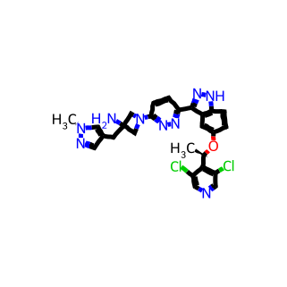 C[C@@H](Oc1ccc2[nH]nc(-c3ccc(N4CC(N)(Cc5cnn(C)c5)C4)nn3)c2c1)c1c(Cl)cncc1Cl